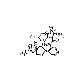 CN(C)CC1(O)CCN(c2ccncc2NC(=O)C(C(N)N)C2NCC(Cl)CN2)CC1